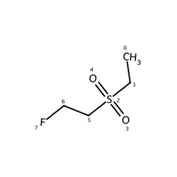 CCS(=O)(=O)CCF